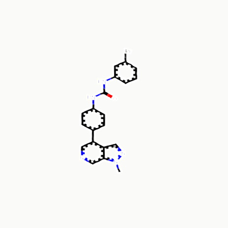 CC(C)c1cccc(NC(=O)Nc2ccc(-c3cncc4c3cnn4C)cc2)c1